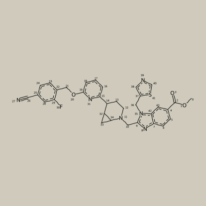 COC(=O)c1ccc2nc(CN3CCC(c4cccc(OCc5ccc(C#N)cc5F)n4)C4CC43)n(Cc3cncs3)c2c1